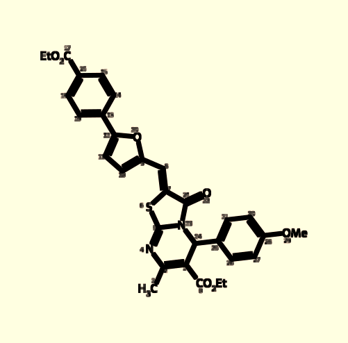 CCOC(=O)C1=C(C)N=c2s/c(=C\c3ccc(-c4ccc(C(=O)OCC)cc4)o3)c(=O)n2C1c1ccc(OC)cc1